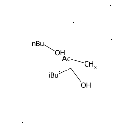 CC(C)=O.CCC(C)CO.CCCCO